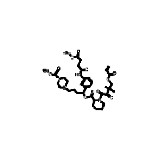 C=CC(=O)OCC(C)(C)C(=O)C(=O)N1CCCCC1C(=O)OC(CCCN1CCN(C(=O)OC(C)(C)C)CC1)c1cccc(NC(=O)CCC(=O)OC(C)(C)C)c1